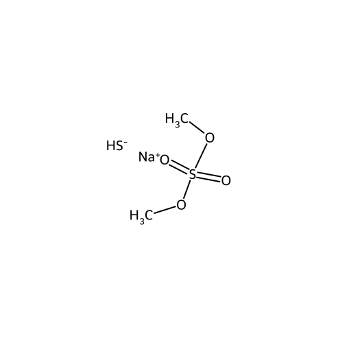 COS(=O)(=O)OC.[Na+].[SH-]